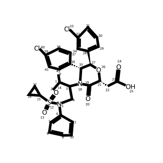 CC(C)C(CN(c1ccccc1)S(=O)(=O)C1CC1)N1C(=O)[C@@H](CC(=O)O)O[C@H](c2cccc(Cl)c2)[C@H]1c1ccc(Cl)cc1